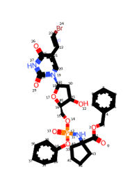 O=C(OCc1ccccc1)C1(NP(=O)(OC[C@H]2O[C@@H](n3cc(/C=C/Br)c(=O)[nH]c3=O)CC2O)Oc2ccccc2)CCCC1